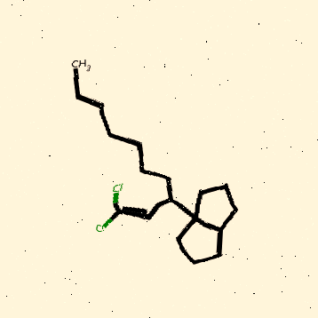 CCCCCCCC(C=C(Cl)Cl)C12CCCC1CCC2